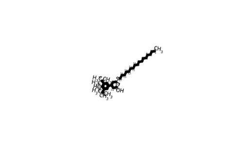 CCCCCCCCCCCCCCCCCCSCCC(CC(=O)O)c1cc(C(C)(C)C)c(O)c(C(C)(C)C)c1